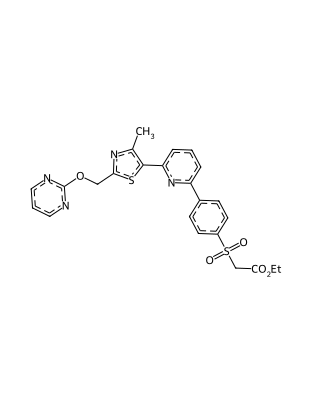 CCOC(=O)CS(=O)(=O)c1ccc(-c2cccc(-c3sc(COc4ncccn4)nc3C)n2)cc1